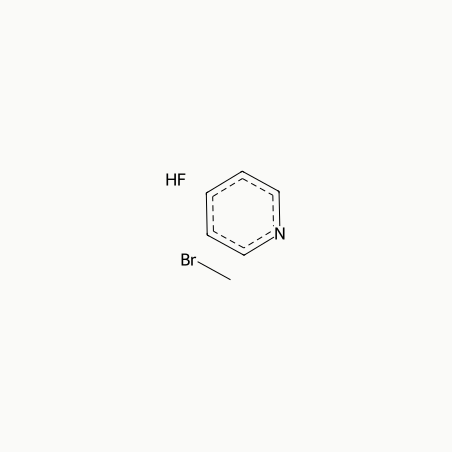 CBr.F.c1ccncc1